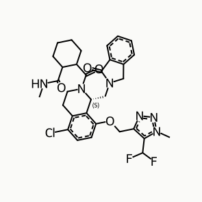 CNC(=O)C1CCCCC1C(=O)N1CCc2c(Cl)ccc(OCc3nnn(C)c3C(F)F)c2[C@H]1CN1Cc2ccccc2C1=O